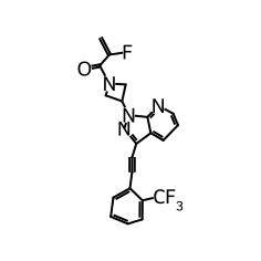 C=C(F)C(=O)N1CC(n2nc(C#Cc3ccccc3C(F)(F)F)c3cccnc32)C1